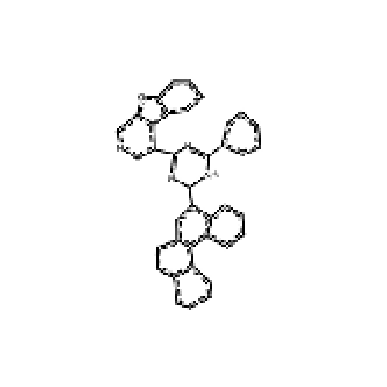 c1ccc(C2=NC(c3cncc4oc5ccccc5c34)=NC(c3cc4ccc5ccccc5c4c4ccccc34)N2)cc1